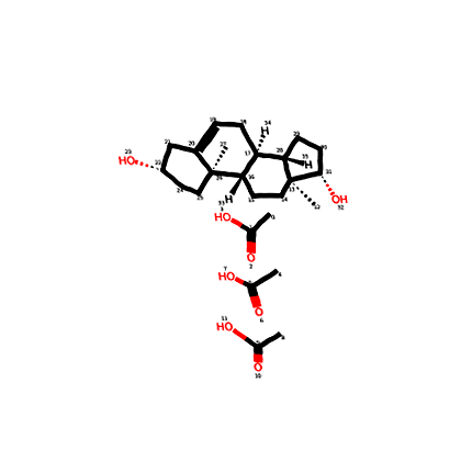 CC(=O)O.CC(=O)O.CC(=O)O.C[C@]12CC[C@H]3[C@@H](CC=C4C[C@@H](O)CC[C@@]43C)[C@@H]1CC[C@@H]2O